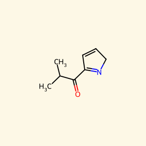 CC(C)C(=O)C1=NCC=C1